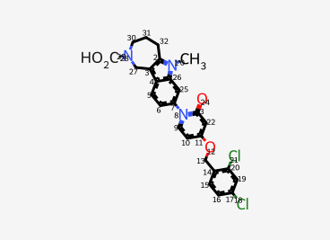 Cn1c2c(c3ccc(-n4ccc(OCc5ccc(Cl)cc5Cl)cc4=O)cc31)CN(C(=O)O)CCC2